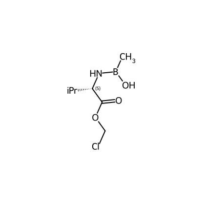 CB(O)N[C@H](C(=O)OCCl)C(C)C